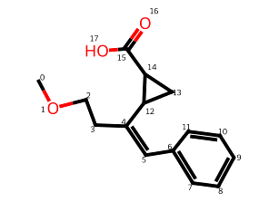 COCCC(=Cc1ccccc1)C1CC1C(=O)O